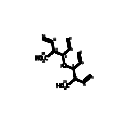 C=CC(OC(C=C)C(C=C)C(=O)O)C(C=C)C(=O)O